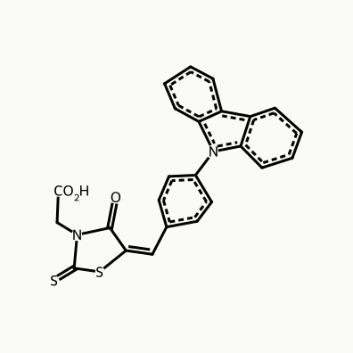 O=C(O)CN1C(=O)/C(=C\c2ccc(-n3c4ccccc4c4ccccc43)cc2)SC1=S